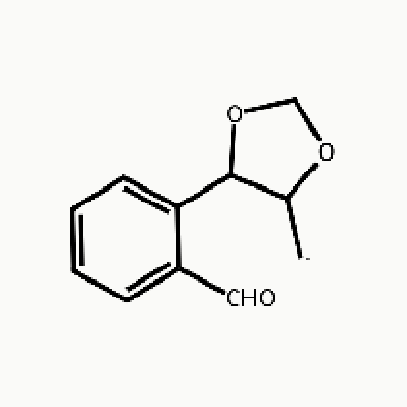 [CH2]C1OCOC1c1ccccc1C=O